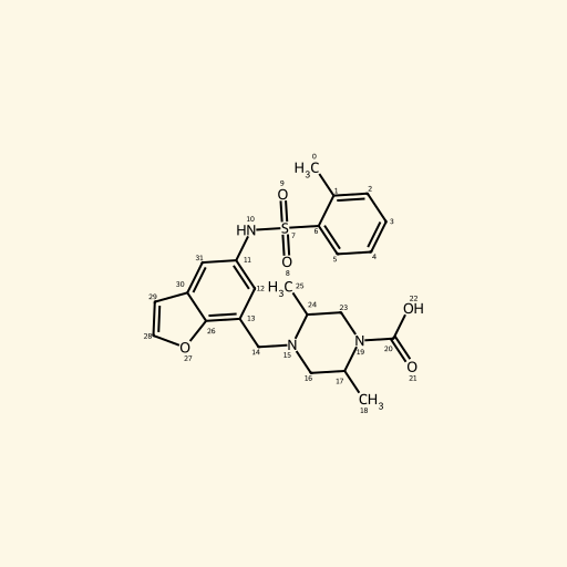 Cc1ccccc1S(=O)(=O)Nc1cc(CN2CC(C)N(C(=O)O)CC2C)c2occc2c1